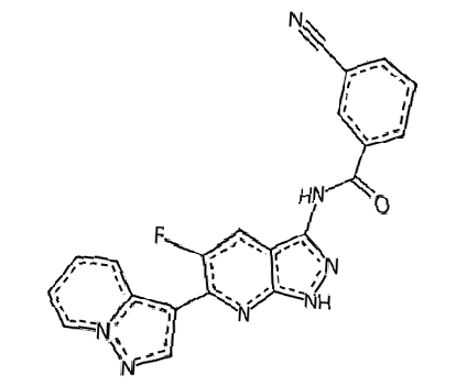 N#Cc1cccc(C(=O)Nc2n[nH]c3nc(-c4cnn5ccccc45)c(F)cc23)c1